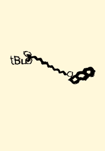 CC(C)(C)OC(=O)CCCCCCCCCCCCOc1cccc2cc3ccccc3cc12